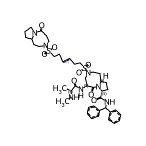 CN[C@@H](C)C(=O)N[C@H]1CN(S(=O)(=O)CC/C=C/CCS(=O)(=O)N2CCC(=O)N3CCCC3CC2)CC[C@H]2CC[C@@H](C(=O)NC(c3ccccc3)c3ccccc3)N2C1=O